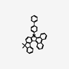 CC1(C)c2ccccc2-c2c1ccc1c2c2c3ccccc3c3ccccc3c2n1-c1ccc(-c2ccccc2)cc1